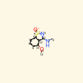 CNc1n[s+]([O-])c2cccc(OC)c12